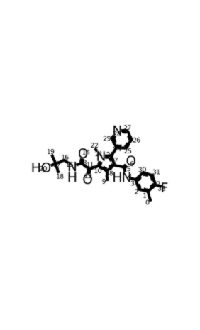 Cc1cc(NC(=O)c2c(C)c(C(=O)C(=O)NCC(C)(C)O)n(C)c2-c2cccnc2)ccc1F